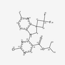 Cc1ccc2c(n1)C1(CN2c2nc(Cl)ncc2C(=O)OC(C)C)CC(F)(F)C1